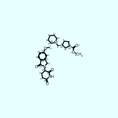 COC(=O)[C@@H]1CC[C@H](CN2CCCC[C@H]2COc2ccc3c(c2)CN(C2CCC(=O)NC2=O)C3=O)C1